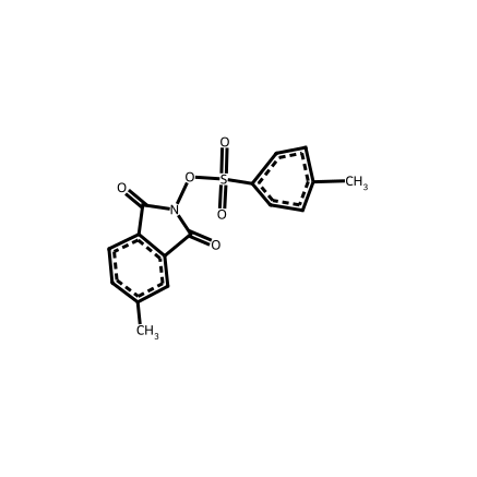 Cc1ccc(S(=O)(=O)ON2C(=O)c3ccc(C)cc3C2=O)cc1